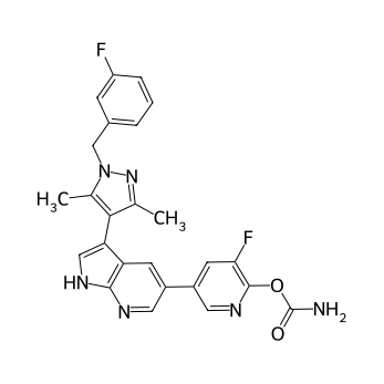 Cc1nn(Cc2cccc(F)c2)c(C)c1-c1c[nH]c2ncc(-c3cnc(OC(N)=O)c(F)c3)cc12